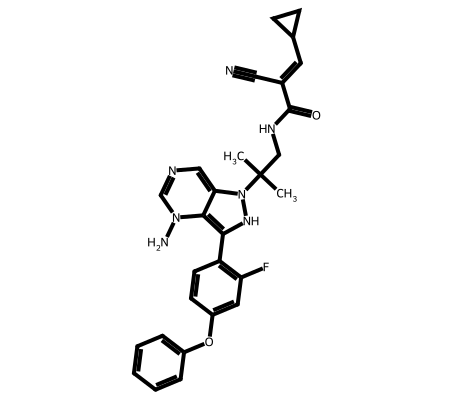 CC(C)(CNC(=O)C(C#N)=CC1CC1)N1NC(c2ccc(Oc3ccccc3)cc2F)=C2C1=CN=CN2N